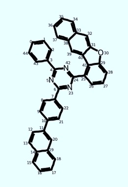 c1ccc(-c2nc(-c3ccc(-c4ccc5ccccc5c4)cc3)nc(-c3cccc4oc5cc6ccccc6cc5c34)n2)cc1